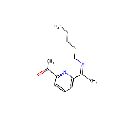 CCCCC/N=C(/C)c1cccc(C(C)=O)n1